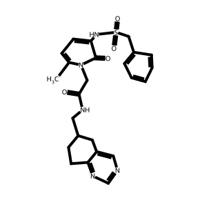 Cc1ccc(NS(=O)(=O)Cc2ccccc2)c(=O)n1CC(=O)NCC1CCc2ncncc2C1